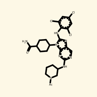 CC(=O)N1CCCC(Nc2ncc3nc(Nc4c(Cl)cc(Cl)cc4Cl)n(C4CCC(C(N)=O)CC4)c3n2)C1